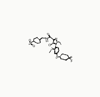 CCn1nc(C(=O)NCC2CCC(S(C)(=O)=O)CC2)c(Cl)c1-c1ccc(OC2CCC(F)(F)CC2)cc1OC